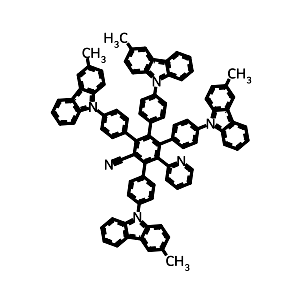 Cc1ccc2c(c1)c1ccccc1n2-c1ccc(-c2c(C#N)c(-c3ccc(-n4c5ccccc5c5cc(C)ccc54)cc3)c(-c3ccccn3)c(-c3ccc(-n4c5ccccc5c5cc(C)ccc54)cc3)c2-c2ccc(-n3c4ccccc4c4cc(C)ccc43)cc2)cc1